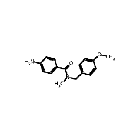 COc1ccc(CN(C)C(=O)c2ccc(N)cc2)cc1